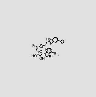 CC(C)N(C[C@H]1O[C@@H](N2CNc3c(N)ncnc32)[C@H](O)[C@@H]1O)C1CC(CCc2nc3cc(C4CCC4)ccc3[nH]2)C1